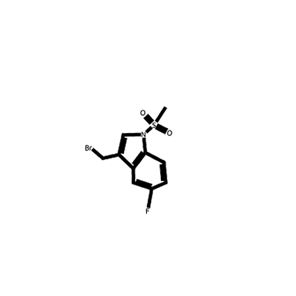 CS(=O)(=O)n1cc(CBr)c2cc(F)ccc21